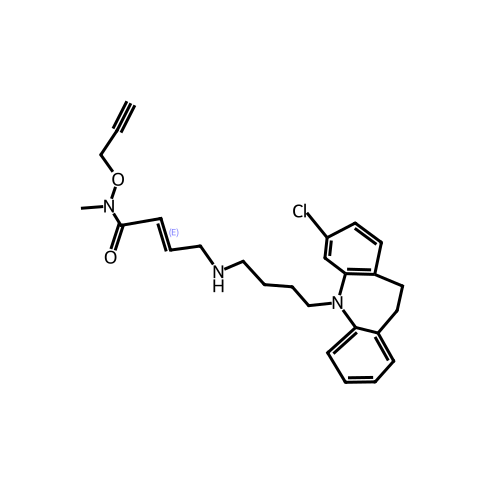 C#CCON(C)C(=O)/C=C/CNCCCCN1c2ccccc2CCc2ccc(Cl)cc21